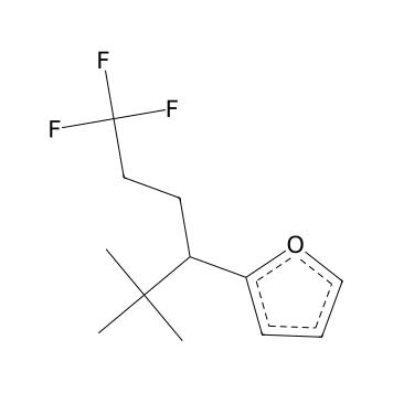 CC(C)(C)C(CCC(F)(F)F)c1ccco1